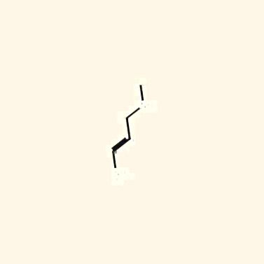 CNCC=C[SiH3]